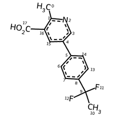 Cc1ncc(-c2ccc(C(C)(F)F)cc2)cc1C(=O)O